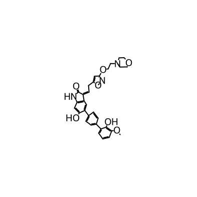 COc1cccc(-c2ccc(-c3cc4c(cc3O)NC(=O)/C4=C\Cc3cc(OCCN4CCOCC4)no3)cc2)c1O